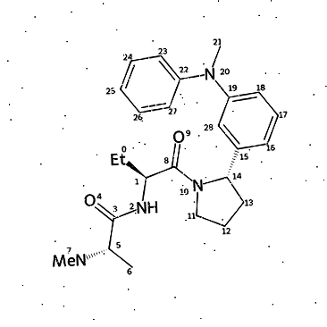 CC[C@H](NC(=O)[C@H](C)NC)C(=O)N1CCC[C@H]1c1cccc(N(C)c2ccccc2)c1